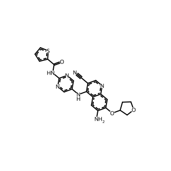 N#Cc1cnc2cc(OC3CCOC3)c(N)cc2c1Nc1cnc(NC(=O)c2cccs2)nc1